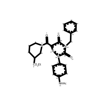 CCOC(=O)C1CCCN(C(=O)c2nn(-c3ccc(NC(C)=O)cc3)c(=O)n(Cc3ccccc3)c2=O)C1